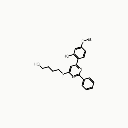 CCOc1ccc(-c2cc(NCCCCO)nc(-c3ccccc3)n2)c(O)c1